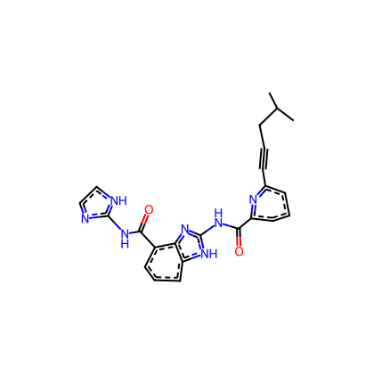 CC(C)CC#Cc1cccc(C(=O)Nc2nc3c(C(=O)Nc4ncc[nH]4)cccc3[nH]2)n1